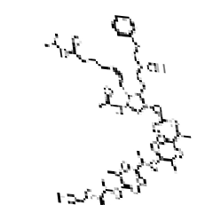 CC(=O)O[C@H]1C[C@@H](OC(=O)OC(C)C(=O)OC(C)C(=O)OC(C)C(=O)OC(C)C(=O)OC(C)C(=O)OCO)[C@H](CC[C@@H](O)CCc2ccccc2)[C@H]1C/C=C\CCCC(=O)OC(C)C